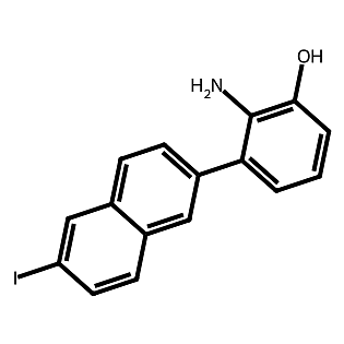 Nc1c(O)cccc1-c1ccc2cc(I)ccc2c1